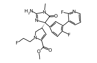 COC(=O)C1=CC([C@]2(c3ccc(F)c(-c4cccnc4F)c3)N=C(N)N(C)C2=O)CN1CCF